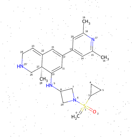 C=S(=O)(C1CC1)N1CC(NC2=CC(c3cc(C)nc(C)c3)=CC3=CCNC[C@@]32C)C1